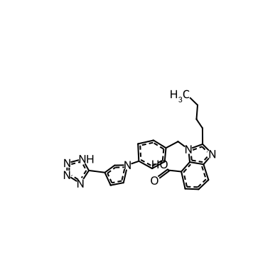 CCCCc1nc2cccc(C(=O)O)c2n1Cc1ccc(-n2ccc(-c3nnn[nH]3)c2)cc1